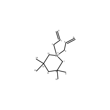 C=CC[N+]1(CC=C)CC(C)(C)CC(C)(C)C1